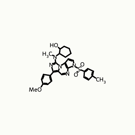 COc1ccc(-c2nc(N(C)C3CCCCC3O)n3c2cnc2c3ccn2S(=O)(=O)c2ccc(C)cc2)cc1